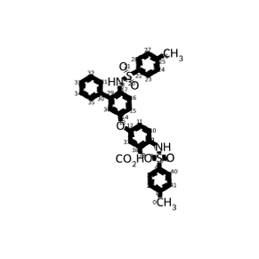 Cc1ccc(S(=O)(=O)Nc2ccc(Oc3ccc(NS(=O)(=O)c4ccc(C)cc4)c(-c4ccccc4)c3)cc2C(=O)O)cc1